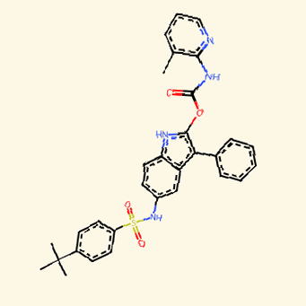 Cc1cccnc1NC(=O)Oc1[nH]c2ccc(NS(=O)(=O)c3ccc(C(C)(C)C)cc3)cc2c1-c1ccccc1